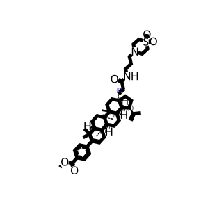 C=C(C)[C@@H]1CC[C@]2(/C=C/C(=O)NCCCN3CCS(=O)(=O)CC3)CC[C@]3(C)[C@H](CC[C@@H]4[C@@]5(C)CC=C(c6ccc(C(=O)OC)cc6)C(C)(C)[C@@H]5CC[C@]43C)[C@@H]12